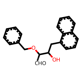 O=CC(OCc1ccccc1)C(O)Cc1cccc2ccccc12